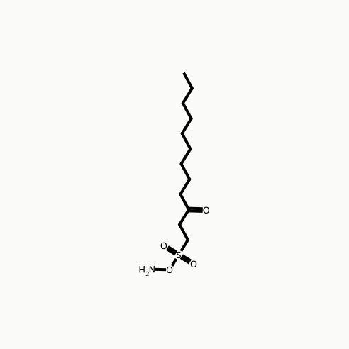 CCCCCCCCCC(=O)CCS(=O)(=O)ON